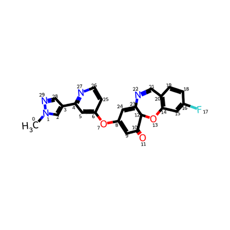 Cn1cc(-c2cc(OC3=CC(=O)C4Oc5cc(F)ccc5C=NC4=C3)ccn2)cn1